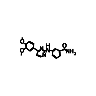 COc1ccc(-c2ccnc(Nc3cccc(C(N)=O)c3)n2)cc1OC